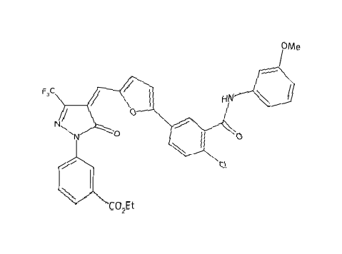 CCOC(=O)c1cccc(N2N=C(C(F)(F)F)/C(=C/c3ccc(-c4ccc(Cl)c(C(=O)Nc5cccc(OC)c5)c4)o3)C2=O)c1